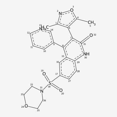 Cc1noc(C)c1-c1c(-c2cccnc2)c2cc(S(=O)(=O)N3CCOCC3)ccc2[nH]c1=O